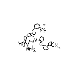 COc1cccc(Oc2ccccc2CN(CCC(N)C(=O)O)Cc2ccccc2OCc2cccc(C(F)(F)F)c2)c1